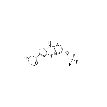 Fc1cc(C2CNCCO2)ccc1Nc1ncc(OCC(F)(F)F)cn1